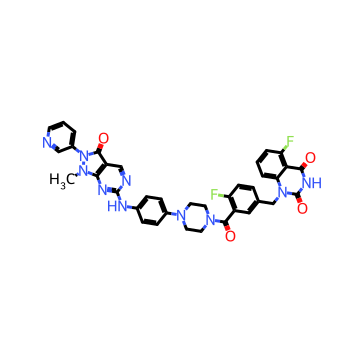 Cn1c2nc(Nc3ccc(N4CCN(C(=O)c5cc(Cn6c(=O)[nH]c(=O)c7c(F)cccc76)ccc5F)CC4)cc3)ncc2c(=O)n1-c1cccnc1